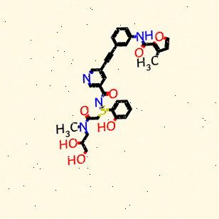 Cc1ccoc1C(=O)Nc1cccc(C#Cc2cncc(C(=O)N=S(CC(=O)N(C)CC(O)CO)c3ccccc3O)c2)c1